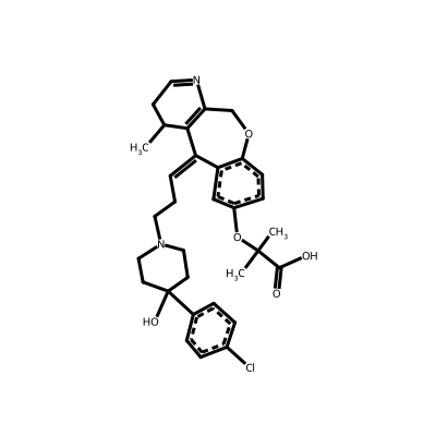 CC1CC=NC2=C1C(=CCCN1CCC(O)(c3ccc(Cl)cc3)CC1)c1cc(OC(C)(C)C(=O)O)ccc1OC2